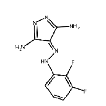 NC1=NN=C(N)C1=NNc1cccc(F)c1F